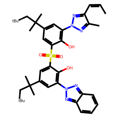 C/C=C\c1nn(-c2cc(C(C)(C)CC(C)(C)C)cc(S(=O)(=O)c3cc(C(C)(C)CC(C)(C)C)cc(-n4nc5ccccc5n4)c3O)c2O)nc1C